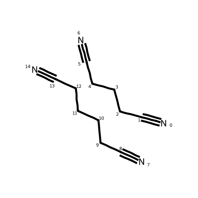 N#CCCCC#N.N#CCCCCC#N